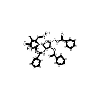 Cc1c(/C=N/O)n([C@@H]2O[C@H](COC(=O)c3ccccc3)[C@@H](OC(=O)c3ccccc3)[C@H]2OC(=O)c2ccccc2)c(=O)[nH]c1=O